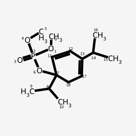 COP(=O)(OC)OC1(C(C)C)C=CC(C(C)C)=CC1